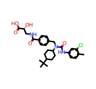 Cc1ccc(NC(=O)N(Cc2ccc(C(=O)NC[C@@H](O)C(=O)O)cc2)C2CCC(C(C)(C)C)CC2)cc1Cl